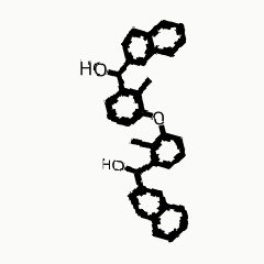 Cc1c(Oc2cccc(C(O)c3ccc4ccccc4c3)c2C)cccc1C(O)c1ccc2ccccc2c1